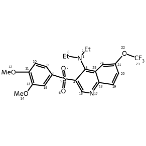 CCN(CC)c1c(S(=O)(=O)c2ccc(OC)c(OC)c2)cnc2ccc(OC(F)(F)F)cc12